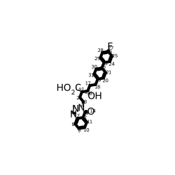 O=C(O)C(CCn1nnc2ccccc2c1=O)C(O)CCc1ccc(-c2ccc(F)cc2)cc1